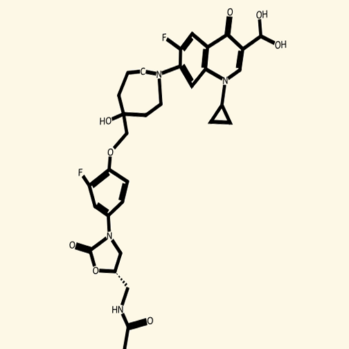 CC(=O)NC[C@H]1CN(c2ccc(OCC3(O)CCCN(c4cc5c(cc4F)c(=O)c(C(O)O)cn5C4CC4)CC3)c(F)c2)C(=O)O1